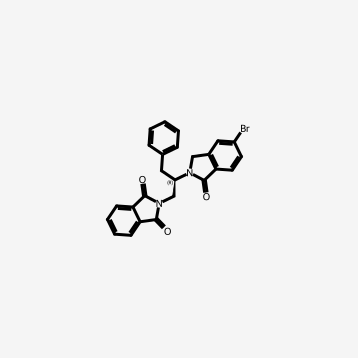 O=C1c2ccccc2C(=O)N1C[C@@H](Cc1ccccc1)N1Cc2cc(Br)ccc2C1=O